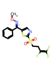 CO/N=C(\c1ccccc1)c1cnc(S(=O)(=O)CCC(F)=C(F)F)s1